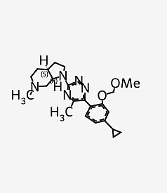 COCOc1cc(C2CC2)ccc1-c1nnc(N2CC[C@@H]3CCN(C)C[C@@H]32)nc1C